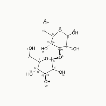 OCC1O[C@@H](O[C@@H]2C(O)C(O)OC(CO)[C@H]2O)C(O)[C@@H](O)[C@@H]1O